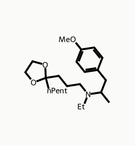 CCCCCC1(CCCN(CC)C(C)Cc2ccc(OC)cc2)OCCO1